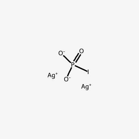 O=P([O-])([O-])I.[Ag+].[Ag+]